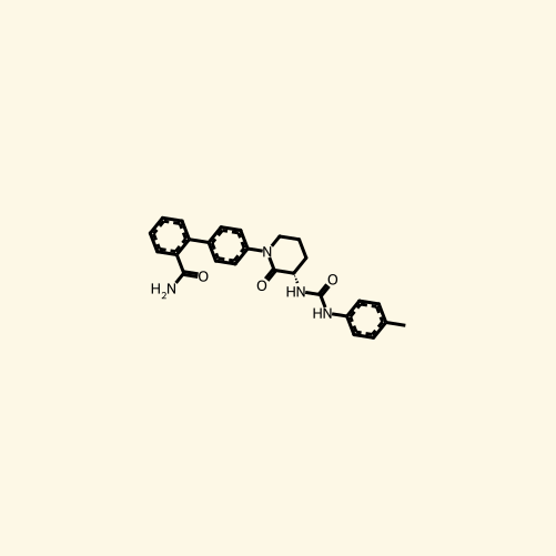 Cc1ccc(NC(=O)N[C@H]2CCCN(c3ccc(-c4ccccc4C(N)=O)cc3)C2=O)cc1